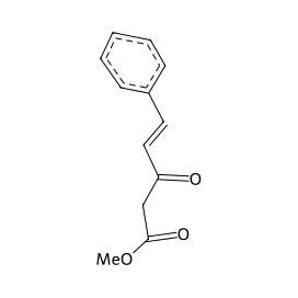 COC(=O)CC(=O)C=Cc1ccccc1